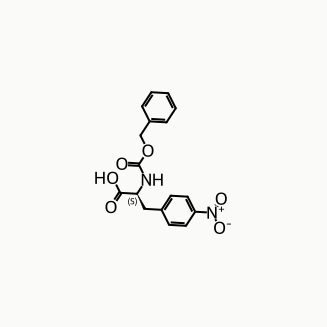 O=C(N[C@@H](Cc1ccc([N+](=O)[O-])cc1)C(=O)O)OCc1ccccc1